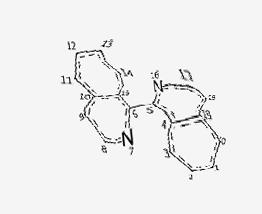 [c]1cccc2c(-c3nccc4ccccc34)nccc12